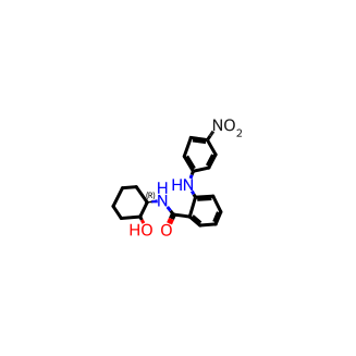 O=C(N[C@@H]1CCCCC1O)c1ccccc1Nc1ccc([N+](=O)[O-])cc1